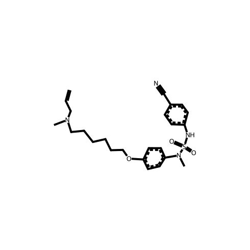 C=CCN(C)CCCCCCOc1ccc(N(C)S(=O)(=O)Nc2ccc(C#N)cc2)cc1